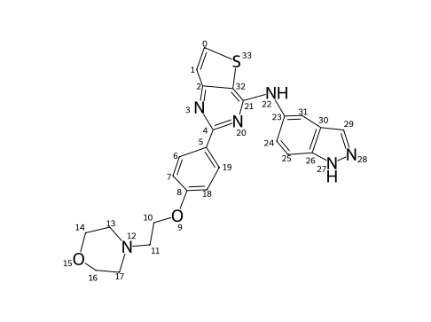 c1cc2nc(-c3ccc(OCCN4CCOCC4)cc3)nc(Nc3ccc4[nH]ncc4c3)c2s1